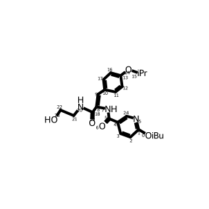 CC(C)COc1ccc(C(=O)N/C(=C\c2ccc(OC(C)C)cc2)C(=O)NCCO)cn1